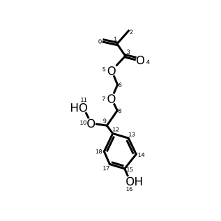 C=C(C)C(=O)OCOCC(OO)c1ccc(O)cc1